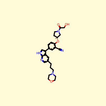 N#Cc1cc(-c2c[nH]c3ncc(CCCN4CCOCC4)cc23)ccc1O[C@@H]1CCN(C(=O)CO)C1